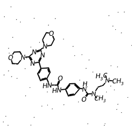 CN(C)CCN(C)C(=O)Nc1ccc(NC(=O)Nc2ccc(-c3nc(N4CCOCC4)nc(N4CCOCC4)n3)cc2)cc1